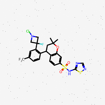 CC1(C)CC(c2ccc(C(F)(F)F)cc2C2(F)CN(Cl)C2)c2ccc(S(=O)(=O)Nc3ncns3)cc2O1